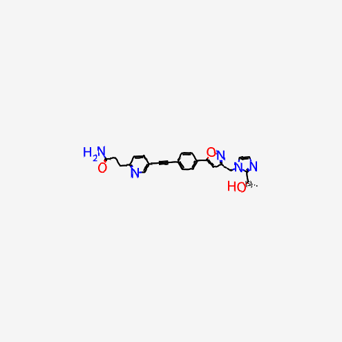 C[C@H](O)c1nccn1Cc1cc(-c2ccc(C#Cc3ccc(CCC(N)=O)nc3)cc2)on1